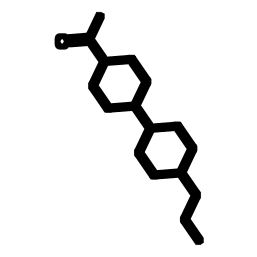 CCCC1CCC(C2CCC(C(C)=O)CC2)CC1